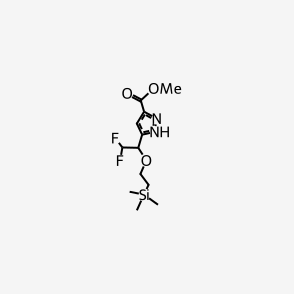 COC(=O)c1cc(C(OCC[Si](C)(C)C)C(F)F)[nH]n1